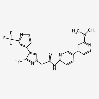 Cc1nn(CC(=O)Nc2ccc(-c3ccnc(N(C)C)c3)cn2)cc1-c1ccnc(C(F)(F)F)c1